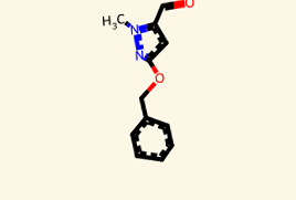 Cn1nc(OCc2ccccc2)cc1C=O